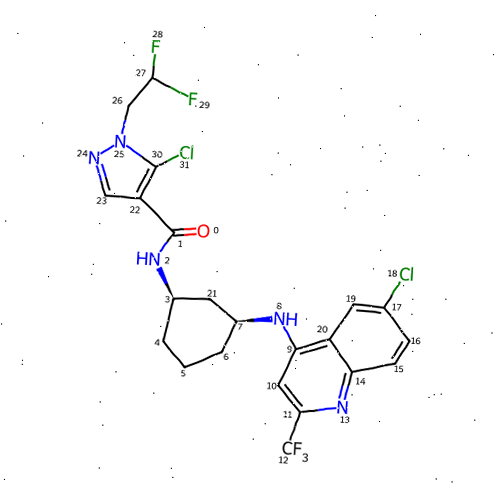 O=C(N[C@@H]1CCC[C@H](Nc2cc(C(F)(F)F)nc3ccc(Cl)cc23)C1)c1cnn(CC(F)F)c1Cl